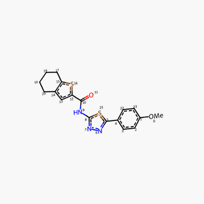 COc1ccc(-c2nnc(NC(=O)c3cc4c(s3)CCCC4)s2)cc1